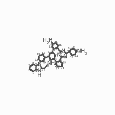 CCC1NC2C=CC=CC2N1c1cccc(-c2cccc(-c3ccccc3-c3nc(-c4ccc(N)cc4)nc(-c4ccc(N)cc4)n3)c2N)c1